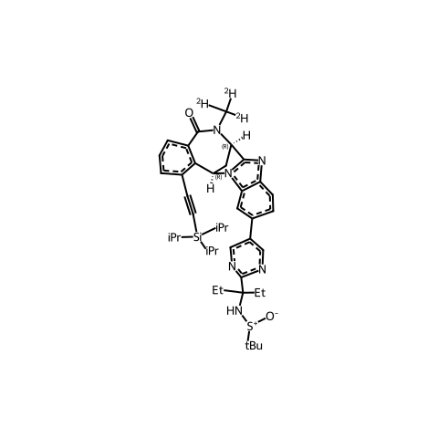 [2H]C([2H])([2H])N1C(=O)c2cccc(C#C[Si](C(C)C)(C(C)C)C(C)C)c2[C@H]2C[C@@H]1c1nc3ccc(-c4cnc(C(CC)(CC)N[S+]([O-])C(C)(C)C)nc4)cc3n12